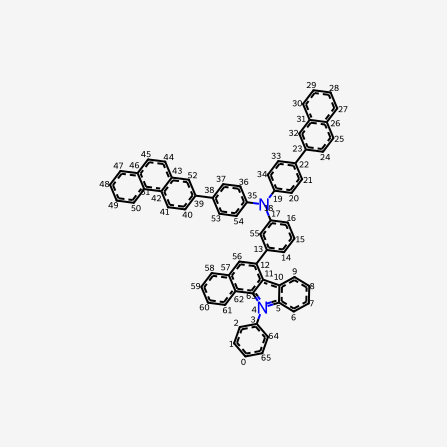 c1ccc(-n2c3ccccc3c3c(-c4cccc(N(c5ccc(-c6ccc7ccccc7c6)cc5)c5ccc(-c6ccc7c(ccc8ccccc87)c6)cc5)c4)cc4ccccc4c32)cc1